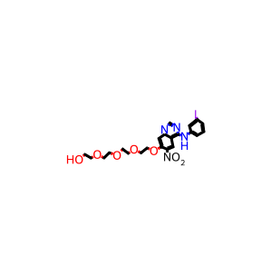 O=[N+]([O-])c1cc2c(Nc3cccc(I)c3)ncnc2cc1OCCOCCOCCOCCO